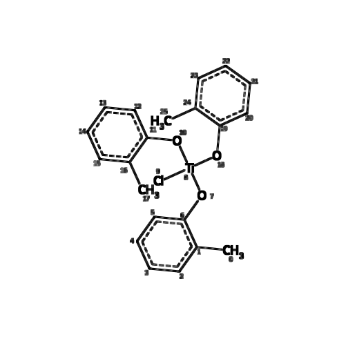 Cc1ccccc1[O][Ti]([Cl])([O]c1ccccc1C)[O]c1ccccc1C